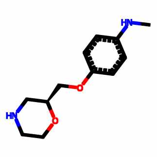 CNc1ccc(OC[C@@H]2CNCCO2)cc1